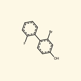 Oc1ccc(-c2ccccc2F)c(Br)c1